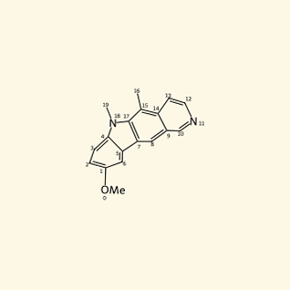 COc1ccc2c(c1)c1cc3cnccc3c(C)c1n2C